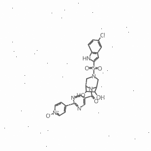 O=C(c1cnc(-c2cc[n+]([O-])cc2)nc1)N1C2CN(S(=O)(=O)c3cc4cc(Cl)ccc4[nH]3)CC1C(O)C2O